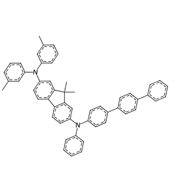 Cc1cccc(N(c2cccc(C)c2)c2ccc3c(c2)C(C)(C)c2cc(N(c4ccccc4)c4ccc(-c5ccc(-c6ccccc6)cc5)cc4)ccc2-3)c1